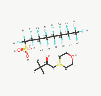 CC(C)(C)C(=O)C[S+]1CCOCC1.O=S(=O)([O-])C(F)(F)C(F)(F)C(F)(F)C(F)(F)C(F)(F)C(F)(F)C(F)(F)C(F)(F)F